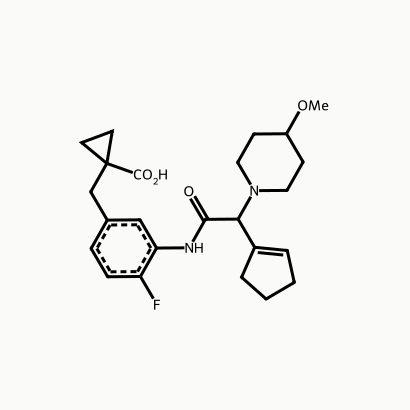 COC1CCN(C(C(=O)Nc2cc(CC3(C(=O)O)CC3)ccc2F)C2=CCCC2)CC1